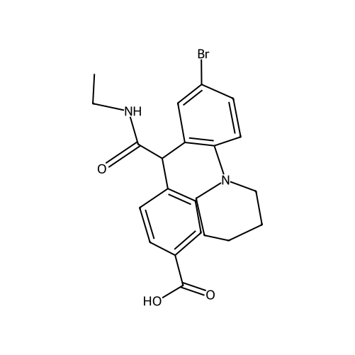 CCNC(=O)C(c1ccc(C(=O)O)cc1)c1cc(Br)ccc1N1CCCCC1